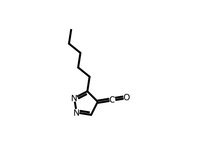 CCCCCC1=NN=CC1=C=O